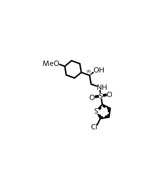 COC1CCC([C@@H](O)CNS(=O)(=O)c2ccc(Cl)s2)CC1